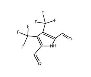 O=Cc1[nH]c(C=O)c(C(F)(F)F)c1C(F)(F)F